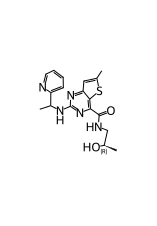 Cc1cc2nc(NC(C)c3ccccn3)nc(C(=O)NC[C@@H](C)O)c2s1